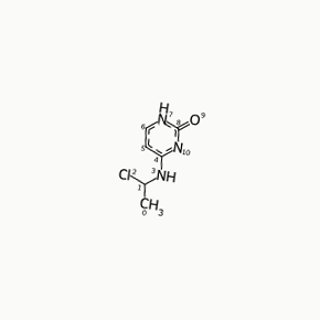 CC(Cl)Nc1cc[nH]c(=O)n1